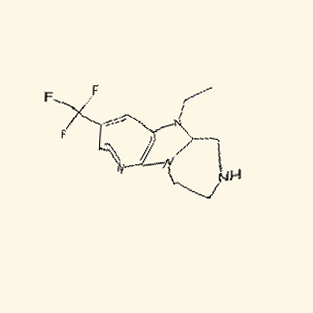 CCN1c2cc(C(F)(F)F)cnc2N2CCNCC12